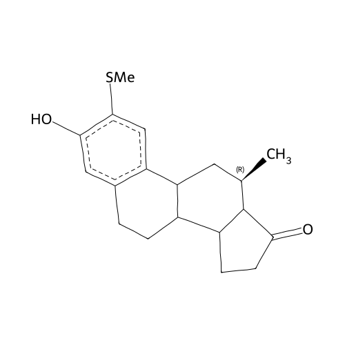 CSc1cc2c(cc1O)CCC1C2C[C@@H](C)C2C(=O)CCC12